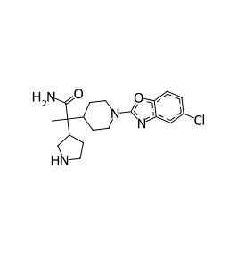 CC(C(N)=O)(C1CCN(c2nc3cc(Cl)ccc3o2)CC1)C1CCNC1